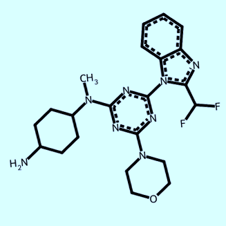 CN(c1nc(N2CCOCC2)nc(-n2c(C(F)F)nc3ccccc32)n1)C1CCC(N)CC1